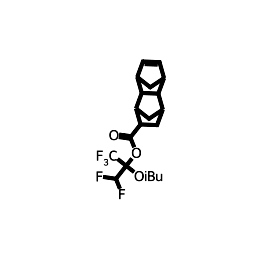 CC(C)COC(OC(=O)C1CC2CC1C1C3C=CC(C3)C21)(C(F)F)C(F)(F)F